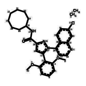 C.C.COc1cccc(OC)c1-c1cc(C(=O)NC2[CH]CCCCCC2)nn1-c1ccnc2cc(Cl)ccc12